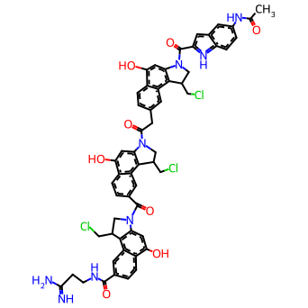 CC(=O)Nc1ccc2[nH]c(C(=O)N3CC(CCl)c4c3cc(O)c3ccc(CC(=O)N5CC(CCl)c6c5cc(O)c5ccc(C(=O)N7CC(CCl)c8c7cc(O)c7ccc(C(=O)NCCC(=N)N)cc87)cc65)cc43)cc2c1